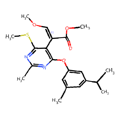 CO/C=C(/C(=O)OC)c1c(Oc2cc(C)cc(C(C)C)c2)nc(C)nc1SC